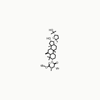 C=C1CC2C3(CC[C@]4(C)[C@@H]([C@@]5(C)CC[C@@H](C(C)(C)O)O5)[C@@H](O)C[C@@]24C)C[C@@]32CC[C@H](OC(=O)[C@H](C(C)C)N(C)C(=O)OC(C)(C)C)C(C)(C)C12